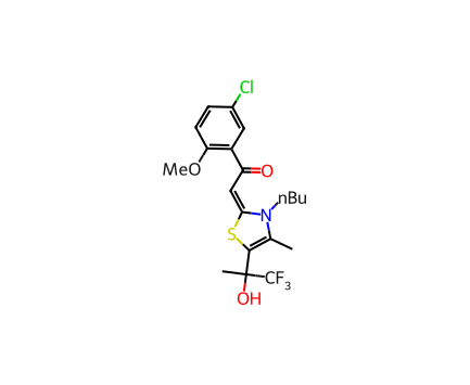 CCCCN1C(=CC(=O)c2cc(Cl)ccc2OC)SC(C(C)(O)C(F)(F)F)=C1C